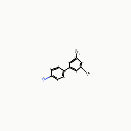 N#Cc1cc(-c2ccc(N)cc2)cc(C(F)(F)F)c1